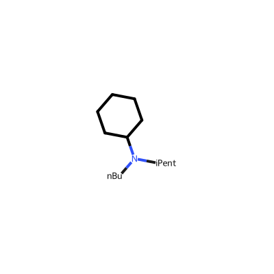 CCCCN(C(C)CCC)C1CCCCC1